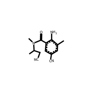 Cc1cc(C#N)cc(C(=O)N(C)C(C)CC#N)c1N